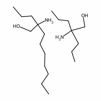 CCCC(N)(CO)CCC.CCCCCCCC(N)(CO)CCC